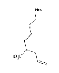 C=CCC(CCCCCCCCCC)C(=O)O